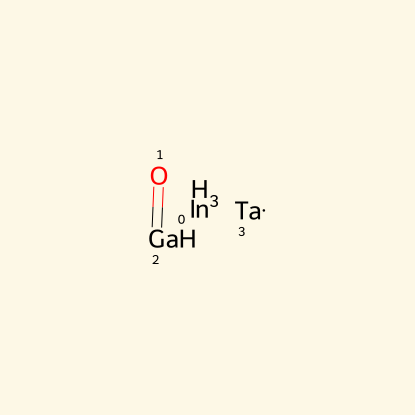 [InH3].[O]=[GaH].[Ta]